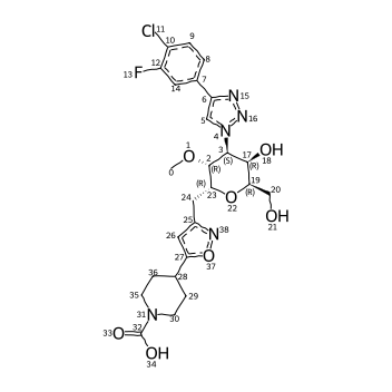 CO[C@@H]1[C@@H](n2cc(-c3ccc(Cl)c(F)c3)nn2)[C@@H](O)[C@@H](CO)O[C@@H]1Cc1cc(C2CCN(C(=O)O)CC2)on1